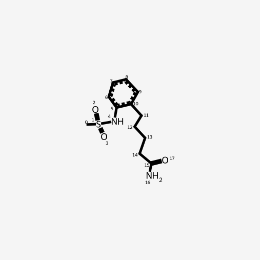 CS(=O)(=O)Nc1ccccc1CCCCC(N)=O